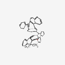 CC1(C)c2ccccc2-c2cc(N(c3ccc4c(c3)c3c5ccccc5ccc3n4-c3ccccc3)c3ccccc3-c3ccccc3)ccc21